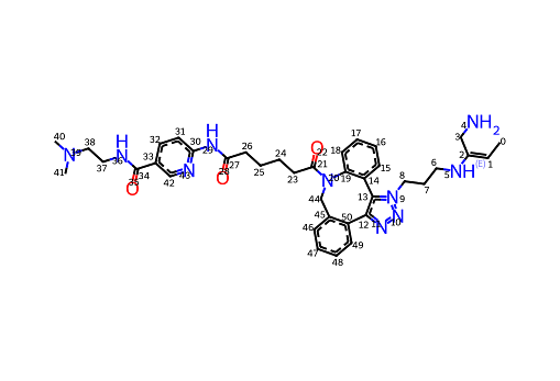 C/C=C(\CN)NCCCn1nnc2c1-c1ccccc1N(C(=O)CCCCC(=O)Nc1ccc(C(=O)NCCN(C)C)cn1)Cc1ccccc1-2